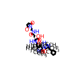 C/C(=C\[C@H](C(C)C)N(C)C(=O)C(NC(=O)[C@@H](N(C)C)C(C)(C)c1ccccc1)C(C)(C)C)C(=O)N[C@H](CCC(=O)NCCN1C(=O)C=CC1=O)C(=O)O